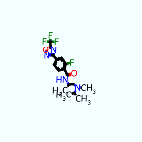 CC(CN(C)C(C)C)NC(=O)c1ccc(-c2noc(C(F)(F)F)n2)cc1F